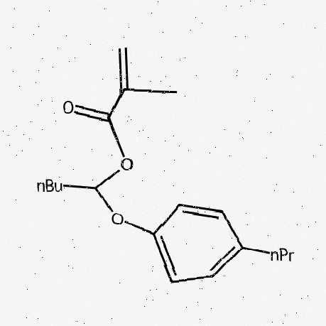 C=C(C)C(=O)OC(CCCC)Oc1ccc(CCC)cc1